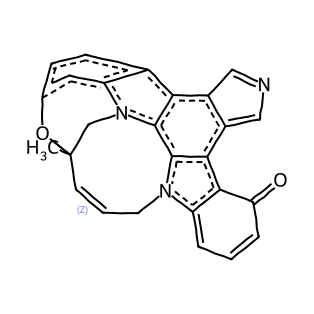 CC12/C=C\Cn3c4c(c5c6c(c7c8ccc(cc8n(c7c53)C1)O2)C=NC=6)C(=O)C=CC=4